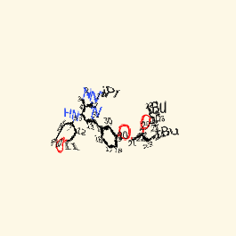 CC(C)n1ncc2c(NC3CCOCC3)cc(-c3cccc(OCC([CH]C(C)(C)C)O[Si](C)(C)C(C)(C)C)c3)nc21